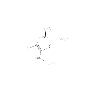 [C-]#[N+]c1cc(OC)c(OC)cc1C(=O)OC